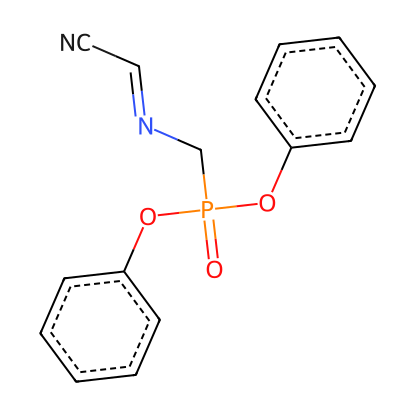 N#CC=NCP(=O)(Oc1ccccc1)Oc1ccccc1